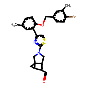 Cc1ccc(OCc2ccc(Br)c(C)c2)c(-c2csc(N3CC4C(C=O)C5CC45C3)n2)c1